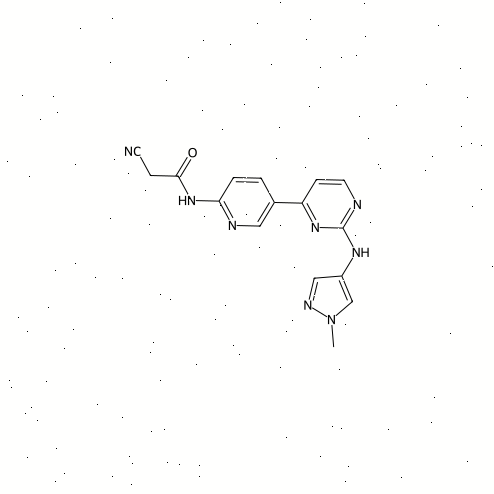 Cn1cc(Nc2nccc(-c3ccc(NC(=O)CC#N)nc3)n2)cn1